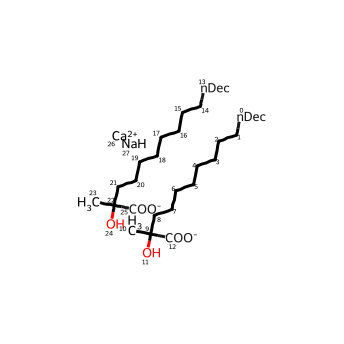 CCCCCCCCCCCCCCCCCCC(C)(O)C(=O)[O-].CCCCCCCCCCCCCCCCCCC(C)(O)C(=O)[O-].[Ca+2].[NaH]